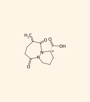 C=C1CCC(=O)N2CCC[C@@H](C(=O)O)N2C1=O